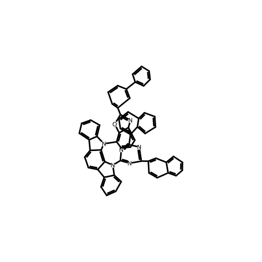 c1ccc(-c2cccc(-c3nc4cccc(-n5c6ccccc6c6ccc7c8ccccc8n(-c8nc(-c9ccc%10ccccc%10c9)nc(-c9cccc%10ccccc9%10)n8)c7c65)c4o3)c2)cc1